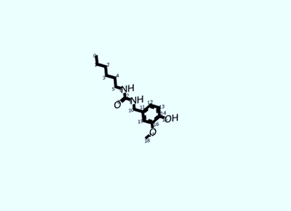 CCCCCCNC(=O)NCc1ccc(O)c(OC)c1